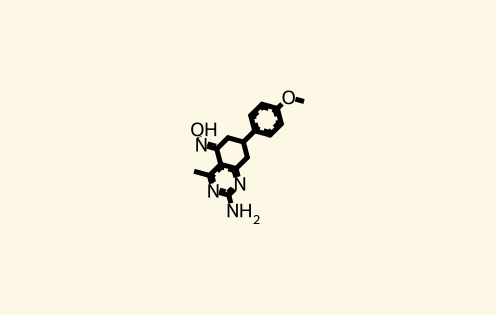 COc1ccc(C2CC(=NO)c3c(C)nc(N)nc3C2)cc1